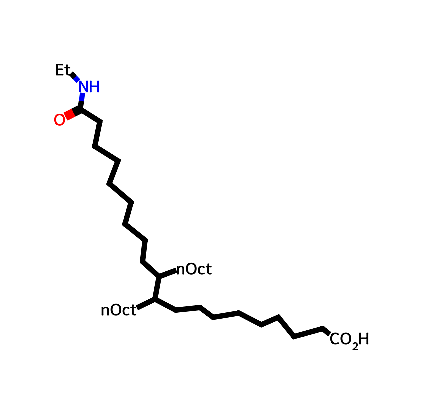 CCCCCCCCC(CCCCCCCCC(=O)O)C(CCCCCCCC)CCCCCCCCC(=O)NCC